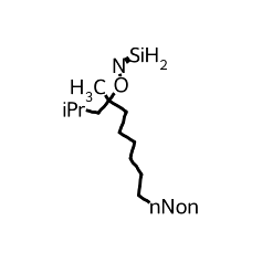 CCCCCCCCCCCCCCCC(C)(CC(C)C)ON=[SiH2]